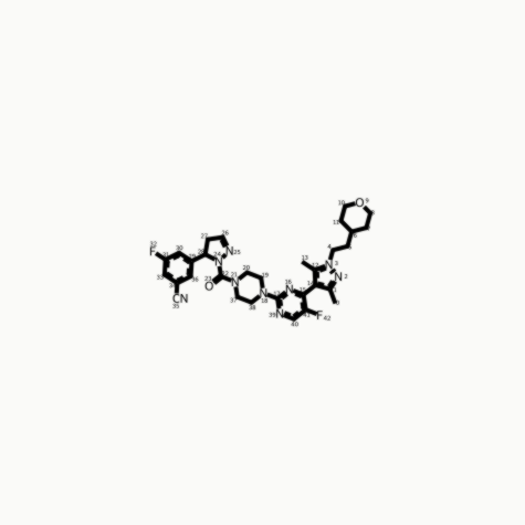 Cc1nn(CCC2CCOCC2)c(C)c1-c1nc(N2CCN(C(=O)N3N=CCC3c3cc(F)cc(C#N)c3)CC2)ncc1F